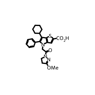 COC1=NN(C(=O)Cn2c(-c3ccccc3)c(C3CCCCC3)c3sc(C(=O)O)cc32)CC1